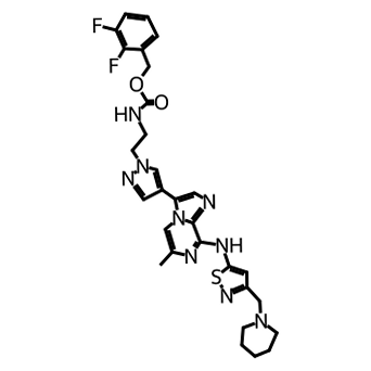 Cc1cn2c(-c3cnn(CCNC(=O)OCc4cccc(F)c4F)c3)cnc2c(Nc2cc(CN3CCCCC3)ns2)n1